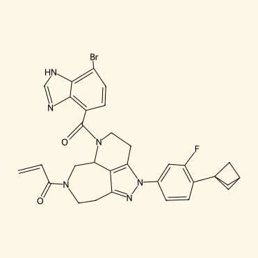 C=CC(=O)N1CCc2nn(-c3ccc(C45CC(C4)C5)c(F)c3)c3c2C(C1)N(C(=O)c1ccc(Br)c2[nH]cnc12)CC3